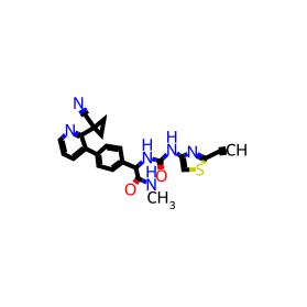 C#Cc1nc(NC(=O)NC(C(=O)NC)c2ccc(-c3cccnc3C3(C#N)CC3)cc2)cs1